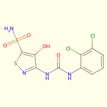 NS(=O)(=O)c1snc(NC(=O)Nc2cccc(Cl)c2Cl)c1O